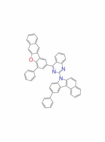 c1ccc(-c2ccc3c(c2)c2c4ccccc4ccc2n3-c2nc(-c3cc(-c4ccccc4)c4oc5cc6ccccc6cc5c4c3)c3ccccc3n2)cc1